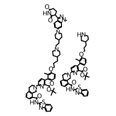 Cc1c(OCCCC2CCN(CCC3CCN(c4ccc5c(C6CCC(=O)NC6=O)nn(C)c5c4)CC3)CC2)cccc1-c1ccc(N2CCc3cccc(C(=O)Nc4nc5ccccc5s4)c3C2)nc1C(=O)OC(C)(C)C.Cc1c(OCCCC2CCNCC2)cccc1-c1ccc(N2CCc3cccc(C(=O)Nc4nc5ccccc5s4)c3C2)nc1C(=O)OC(C)(C)C